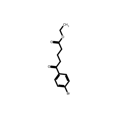 CCOC(=O)CCCC(=O)c1ccc(Br)cc1